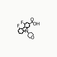 O=C(O)c1cc(F)c2c3c(F)cccc3n(C3CCOCC3)c2c1